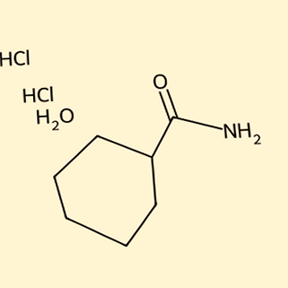 Cl.Cl.NC(=O)C1CCCCC1.O